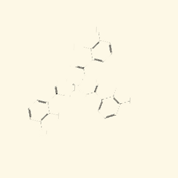 CCc1cccc(C(=O)OP(=O)(OC(=O)c2cccc(CC)c2CC)OC(=O)c2cccc(CC)c2CC)c1CC